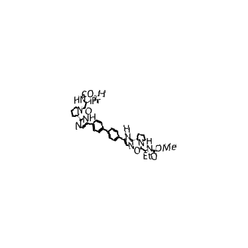 CC[C@H](NC(=O)OC)C(=O)N1CCC[C@H]1c1ncc(-c2ccc(-c3ccc(-c4cnc([C@@H]5CCCN5C(=O)[C@@H](NC(=O)O)C(C)C)[nH]4)cc3)cc2)[nH]1